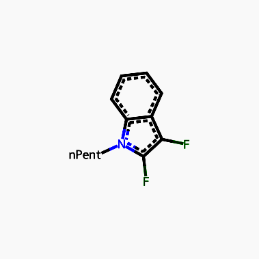 CCCCCn1c(F)c(F)c2ccccc21